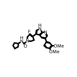 COc1ccc(-c2cnc3[nH]cc(C4=C(F)CN(C(=O)NC5CCCC5)CC4)c3c2)cc1OC